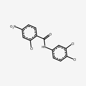 O=C(Nc1ccc(Cl)c(Cl)c1)c1ccc([N+](=O)[O-])cc1Cl